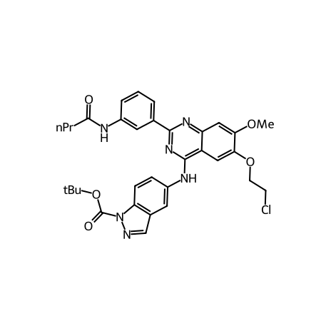 CCCC(=O)Nc1cccc(-c2nc(Nc3ccc4c(cnn4C(=O)OC(C)(C)C)c3)c3cc(OCCCl)c(OC)cc3n2)c1